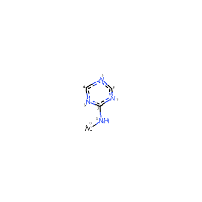 CC(=O)Nc1n[c]ncn1